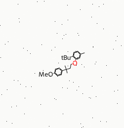 COc1ccc(C(C)(C)CCOc2cc(C)ccc2C(C)(C)C)cc1